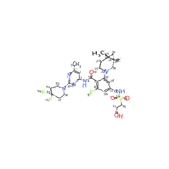 Cc1cc(NC(=O)c2c(F)cc(NS(=O)(=O)CCO)cc2N2CC[C@]3(C)C[C@@H]3C2)nc(N2CCC(F)(F)CC2)n1